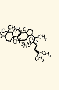 CC(C)=CCC(O)C(C)C1CCC2(C)C3=C(CCC12C)C1(C)CCC(O)C(C)(C)C1CC3